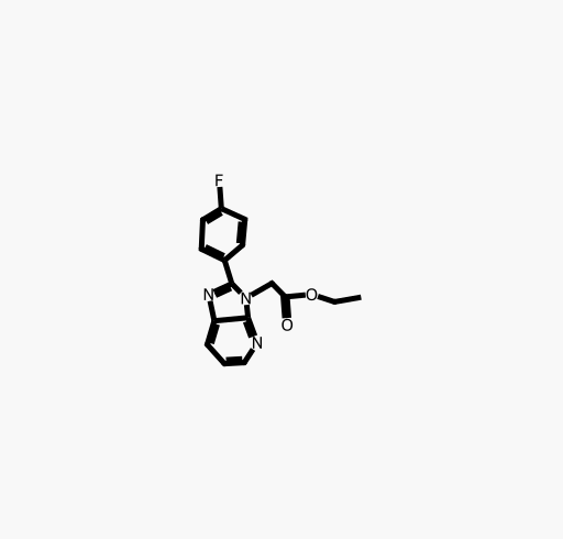 CCOC(=O)Cn1c(-c2ccc(F)cc2)nc2cccnc21